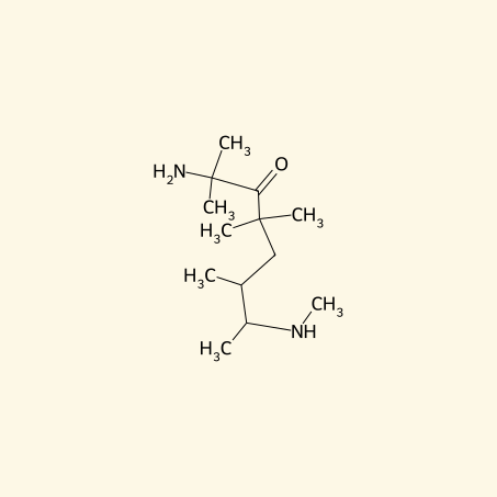 CNC(C)C(C)CC(C)(C)C(=O)C(C)(C)N